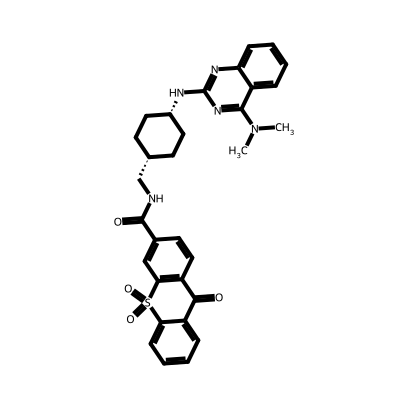 CN(C)c1nc(N[C@H]2CC[C@@H](CNC(=O)c3ccc4c(c3)S(=O)(=O)c3ccccc3C4=O)CC2)nc2ccccc12